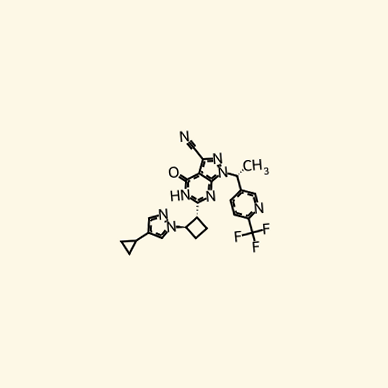 C[C@H](c1ccc(C(F)(F)F)nc1)n1nc(C#N)c2c(=O)[nH]c([C@@H]3CC[C@H]3n3cc(C4CC4)cn3)nc21